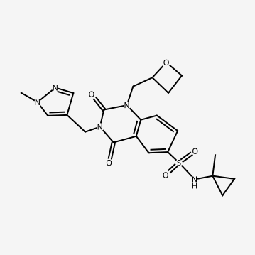 Cn1cc(Cn2c(=O)c3cc(S(=O)(=O)NC4(C)CC4)ccc3n(CC3CCO3)c2=O)cn1